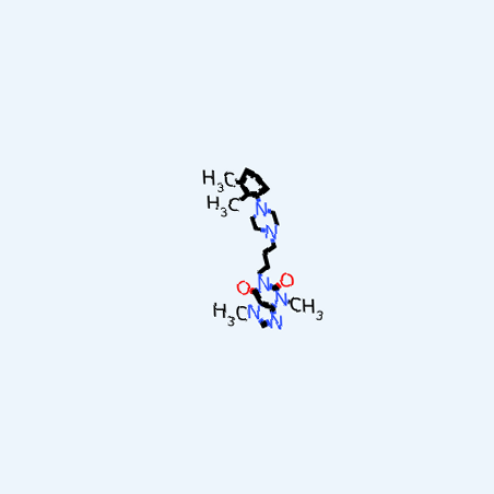 Cc1cccc(N2CCN(CCCCn3c(=O)c4c(ncn4C)n(C)c3=O)CC2)c1C